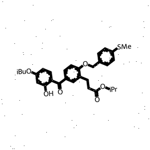 CSc1ccc(COc2ccc(C(=O)c3ccc(OCC(C)C)cc3O)cc2CCC(=O)OC(C)C)cc1